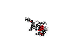 CCCNC(=O)Nc1cccc(S(=O)(=O)Nc2cccc([C@@H](CC(=O)O)NC(=O)Nc3ccc(NC(=O)N(C)CCN(C)CCN(C)CC(=O)N[C@@H](CC(N)=O)C(=O)N4CCC[C@H]4C(=O)N[C@@H](C(C)C)C(O)O[C@]4(CC)C(=O)OCc5c4cc4n(c5=O)Cc5c-4nc4ccccc4c5CC)cc3)c2)c1